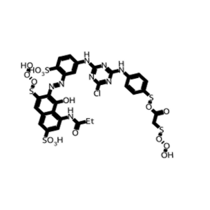 CCC(=O)Nc1cc(S(=O)(=O)O)cc2cc(SOOO)c(N=Nc3cc(Nc4nc(Cl)nc(Nc5ccc(SOC(=O)CSOOO)cc5)n4)ccc3S(=O)(=O)O)c(O)c12